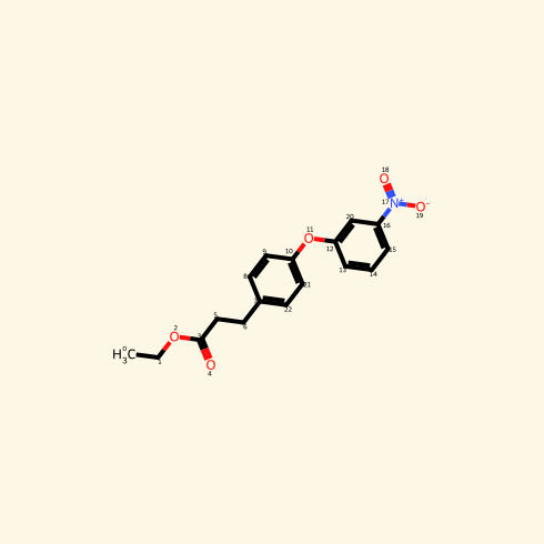 CCOC(=O)CCc1ccc(Oc2cccc([N+](=O)[O-])c2)cc1